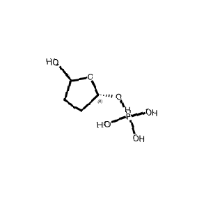 OC1CC[C@@H](O[PH](O)(O)O)O1